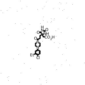 CCc1cc(N2CCN(C(=O)CCC3(CC(=O)O)NC(=O)NC3=O)CC2)ccc1Cl